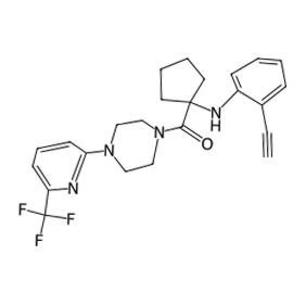 C#Cc1ccccc1NC1(C(=O)N2CCN(c3cccc(C(F)(F)F)n3)CC2)CCCC1